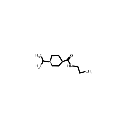 CCCNC(=O)C1CCN(C(C)C)CC1